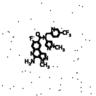 Cn1cc(N(Cc2ccc(C(F)(F)F)cn2)C(=O)c2cc3c(cc2F)nc(N)c2c3cnn2C)cn1